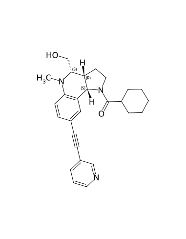 CN1c2ccc(C#Cc3cccnc3)cc2[C@@H]2[C@@H](CCN2C(=O)C2CCCCC2)[C@H]1CO